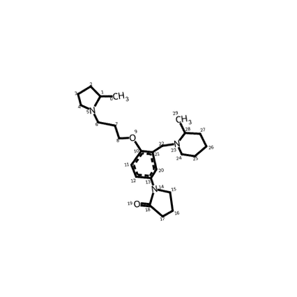 CC1CCCN1CCCOc1ccc(N2CCCC2=O)cc1CN1CCCCC1C